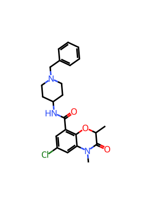 CC1Oc2c(C(=O)NC3CCN(Cc4ccccc4)CC3)cc(Cl)cc2N(C)C1=O